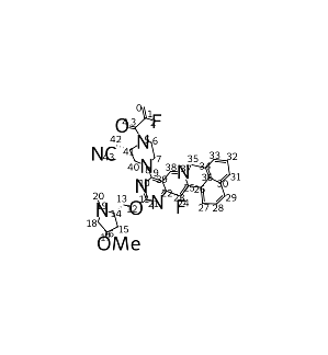 C=C(F)C(=O)N1CCN(c2nc(OC[C@@H]3C[C@@H](OC)CN3C)nc3c(F)c(-c4cccc5cccc(C)c45)ncc23)C[C@@H]1CC#N